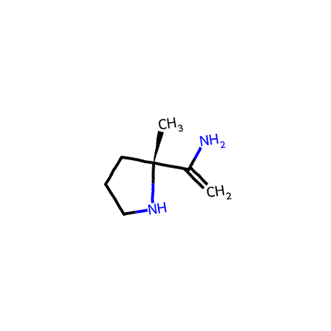 C=C(N)[C@@]1(C)CCCN1